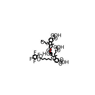 COCCN1/C(=C/C=C/C=C/C2=[N+](CCCCCC(=O)Oc3c(F)c(F)cc(F)c3F)c3ccc(S(=O)(=O)O)cc3C2(C)CCCS(=O)(=O)O)C(C)(CCCS(=O)(=O)O)c2cc(S(=O)(=O)O)ccc21